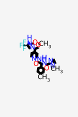 COCC(c1ccnc(NC(=O)[C@@H](NC(=O)c2nccn2C)C2CCC(C)CC2)c1)N1C[C@@H](C(F)(F)F)NC1=O